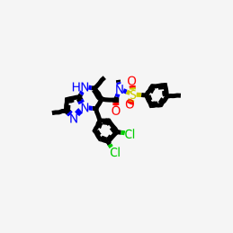 CC1=C(C(=O)N(C)S(=O)(=O)c2ccc(C)cc2)C(c2ccc(Cl)c(Cl)c2)n2nc(C)cc2N1